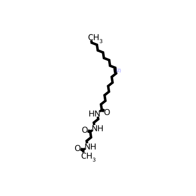 CCCCCCCC/C=C\CCCCCCCC(=O)NCCNC(=O)CCNC(C)=O